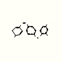 Cc1ccc(/N=N\c2ccc(/N=N\C3=CCC(N)C=C3)cc2)c(Cl)c1